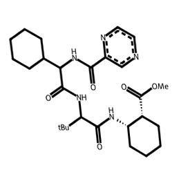 COC(=O)[C@@H]1CCCC[C@@H]1NC(=O)C(NC(=O)C(NC(=O)c1cnccn1)C1CCCCC1)C(C)(C)C